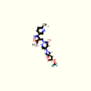 Cc1ccc(-c2noc(C)c2Cn2ncc(N3CC4(C[C@@H](OC(F)F)CO4)C3)cc2=O)cn1